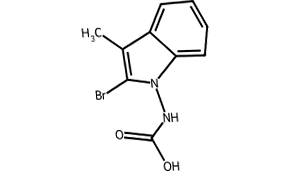 Cc1c(Br)n(NC(=O)O)c2ccccc12